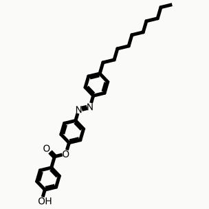 CCCCCCCCCCc1ccc(N=Nc2ccc(OC(=O)c3ccc(O)cc3)cc2)cc1